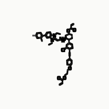 C=CC(=O)OCCCOc1ccc(C#Cc2ccc(C3CCC(OC(=O)C=C)C/C3=N\N/C=C3\N(CC)c4ccc(-c5ccc(C)cc5C)cc4N3CC)cc2Cl)cc1